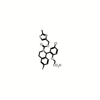 Cc1nc(COC(=O)N2CCc3cc(F)ccc3C2c2cc(Cl)ccc2OCC(=O)O)cs1